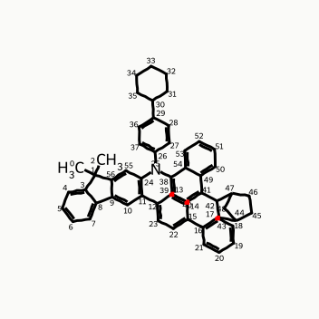 CC1(C)c2ccccc2-c2cc(-c3ccc(-c4ccccc4)cc3)c(N(c3ccc(C4CCCCC4)cc3)c3ccc(C4CC5CCC4C5)c4ccccc34)cc21